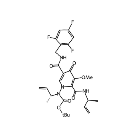 C=C[C@@H](C)N(C(=O)OC(C)(C)C)n1cc(C(=O)NCc2c(F)cc(F)cc2F)c(=O)c(OC)c1C(=O)N[C@@H](C)C=C